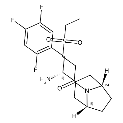 CCS(=O)(=O)CCC(=O)N1[C@@H]2CC[C@H]1CC([C@H](N)Cc1cc(F)c(F)cc1F)C2